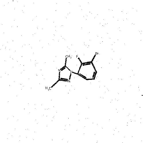 [CH2]c1nc(C)nn1-c1cccc(Br)c1F